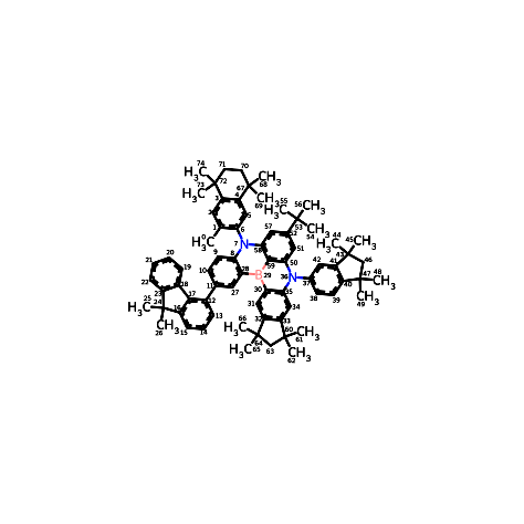 Cc1cc2c(cc1N1c3ccc(-c4cccc5c4-c4ccccc4C5(C)C)cc3B3c4cc5c(cc4N(c4ccc6c(c4)C(C)(C)CC6(C)C)c4cc(C(C)(C)C)cc1c43)C(C)(C)CC5(C)C)C(C)(C)CCC2(C)C